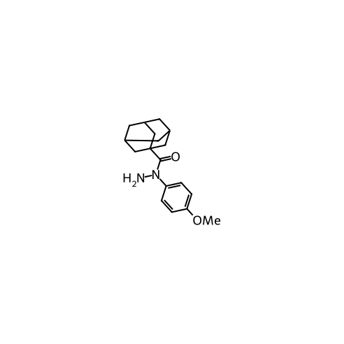 COc1ccc(N(N)C(=O)C23CC4CC(CC(C4)C2)C3)cc1